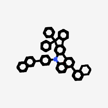 c1ccc(N(c2ccc(-c3ccc4ccccc4c3)cc2)c2cc3c(cc2-c2ccc(-c4cccc5c4CCCC5)cc2)-c2ccccc2C3(c2ccccc2)c2ccccc2)cc1